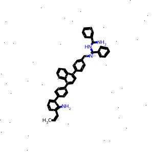 C/C=C\c1cccc(-c2ccc(-c3ccc(-c4ccc(C/N=C(\NC(N)c5ccccc5)c5ccccc5)cc4)c4ccccc34)cc2)c1N